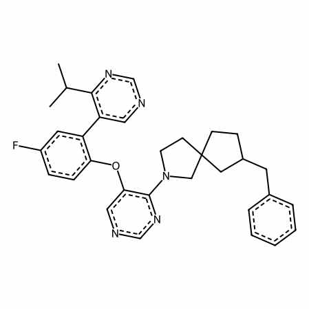 CC(C)c1ncncc1-c1cc(F)ccc1Oc1cncnc1N1CCC2(CCC(Cc3ccccc3)C2)C1